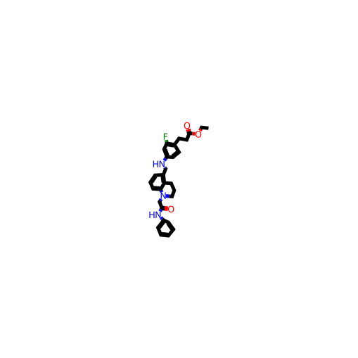 CCOC(=O)CCc1ccc(NCc2cccc3c2CCCN3CC(=O)Nc2ccccc2)cc1F